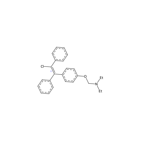 CCN(CC)COc1ccc(/C(=C(/Cl)c2ccccc2)c2ccccc2)cc1